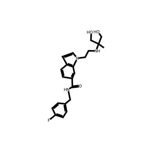 CC(CO)(CO)NCCn1ccc2ccc(C(=O)NCc3ccc(F)cc3)cc21